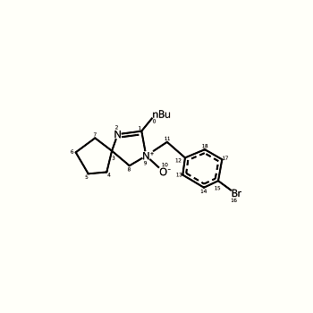 CCCCC1=NC2(CCCC2)C[N+]1([O-])Cc1ccc(Br)cc1